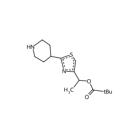 CC(OC(=O)C(C)(C)C)c1csc(C2CCNCC2)n1